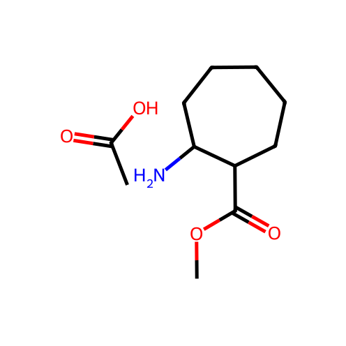 CC(=O)O.COC(=O)C1CCCCCC1N